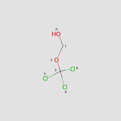 OCOC(Cl)(Cl)Cl